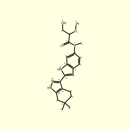 CC(C)OC(CO)C(=O)N(C)c1ccc2cc(-c3n[nH]c4c3CCC(C)(C)C4)[nH]c2c1